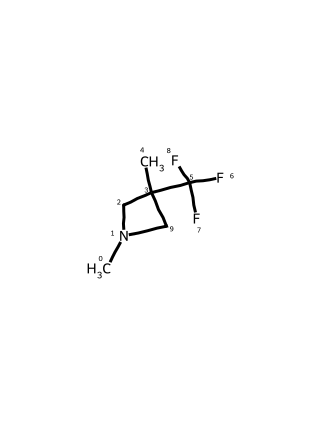 CN1CC(C)(C(F)(F)F)C1